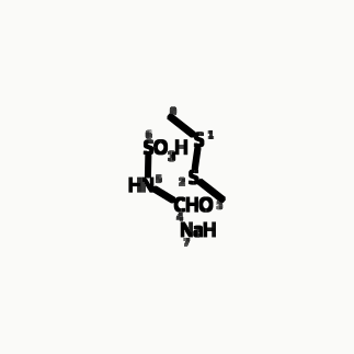 CSSC.O=CNS(=O)(=O)O.[NaH]